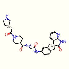 O=C(CNC(=O)C1CCN(C(=O)C[C@@H]2CCNC2)CC1)Nc1ccc2c(c1)C[C@@]1(C2)C(=O)Nc2ncccc21